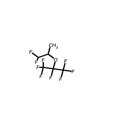 CC(OC(F)(C(F)(F)F)C(F)(F)F)C(F)F